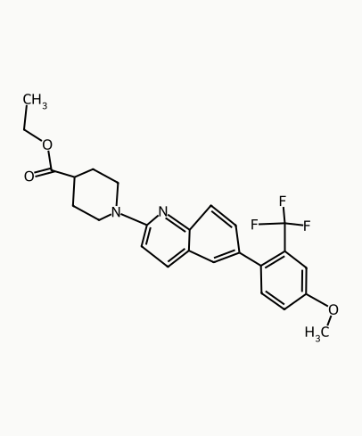 CCOC(=O)C1CCN(c2ccc3cc(-c4ccc(OC)cc4C(F)(F)F)ccc3n2)CC1